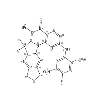 COc1cc(F)c([N+](=O)[O-])cc1Nc1ncc(C(=O)OC(C)C)c(N2CC(C)(C)c3nc4c(cc32)CCC4)n1